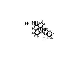 O=C(NO)c1ccccc1-c1ccccc1C(=O)Nc1cccnc1[N+](=O)[O-]